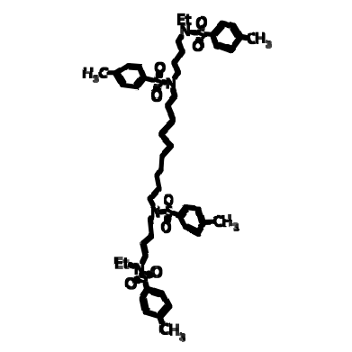 CCN(CCCCN(CCCCCCCCCCN(CCCCN(CC)S(=O)(=O)c1ccc(C)cc1)S(=O)(=O)c1ccc(C)cc1)S(=O)(=O)c1ccc(C)cc1)S(=O)(=O)c1ccc(C)cc1